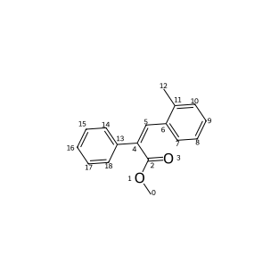 COC(=O)C(=Cc1ccccc1C)c1ccccc1